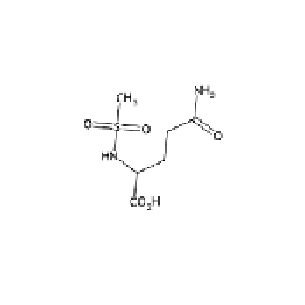 CS(=O)(=O)NC(CCC(N)=O)C(=O)O